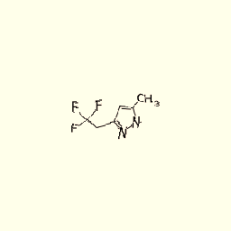 CC1=CC(CC(F)(F)F)=N[N]1